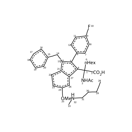 CCCCCCC(NC(C)=O)(C(=O)O)c1c(-c2ccc(F)cc2)n(Cc2ccccc2)c2ccc(OC)cc12.CCCCNC